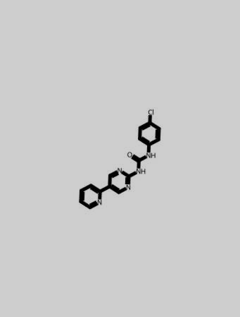 O=C(Nc1ccc(Cl)cc1)Nc1ncc(-c2ccccn2)cn1